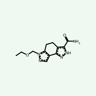 CCOCn1ncc2c1CCc1c-2n[nH]c1C(N)=O